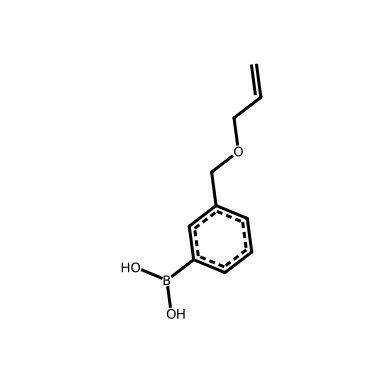 C=CCOCc1cccc(B(O)O)c1